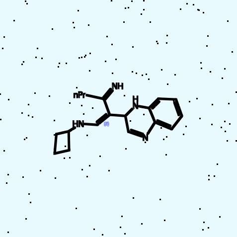 CCCC(=N)/C(=C\NC1CCC1)C1C=Nc2ccccc2N1